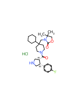 CC1(C)COC(=O)N1CC1(C2CCCCC2)CCN(C(=O)[C@H]2CNC[C@H]2c2ccc(F)cc2)CC1.Cl